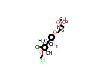 CC(C)(c1ccc(OCc2nc(S(C)(=O)=O)cs2)cc1)c1cc(Cl)c(OCCCl)c(C#N)c1